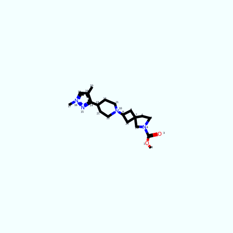 COC(=O)N1CCC2(CC(N3CCC(c4nn(C)cc4C)CC3)C2)C1